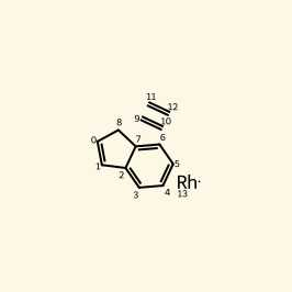 C1=Cc2ccccc2C1.C=C.C=C.[Rh]